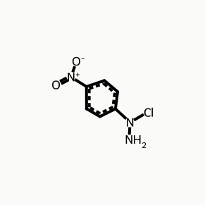 NN(Cl)c1ccc([N+](=O)[O-])cc1